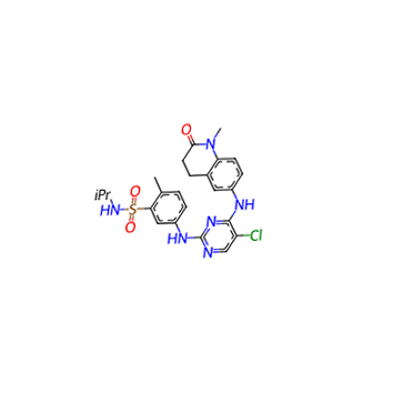 Cc1ccc(Nc2ncc(Cl)c(Nc3ccc4c(c3)CCC(=O)N4C)n2)cc1S(=O)(=O)NC(C)C